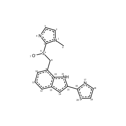 Cn1ccnc1[S+]([O-])Cc1cccc2cc(-c3nccs3)[nH]c12